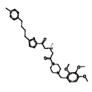 COc1ccc(CN2CCN(C(=O)C[C@@H](C)CC(=O)c3ccc(CCCCc4ccc(C)cc4)s3)CC2)c(OC)c1OC